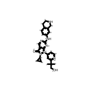 CC(C)(CO)c1cc(-n2c3nc(Nc4ccc5c(c4)CNCC5)ncc3c(=O)n2C2CC2)ccn1